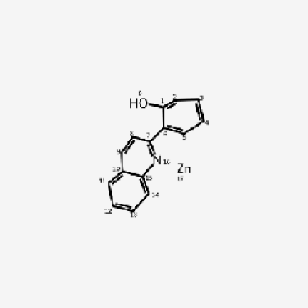 Oc1ccccc1-c1ccc2ccccc2n1.[Zn]